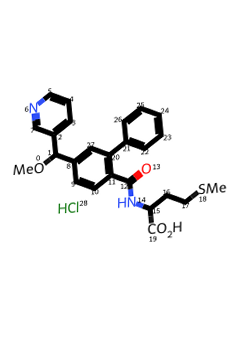 COC(c1cccnc1)c1ccc(C(=O)NC(CCSC)C(=O)O)c(-c2ccccc2)c1.Cl